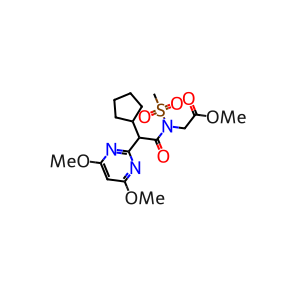 COC(=O)CN(C(=O)C(c1nc(OC)cc(OC)n1)C1CCCC1)S(C)(=O)=O